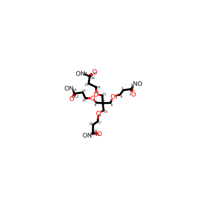 O=NC(=O)CCOCC(COCCC(=O)N=O)(COCCC(=O)N=O)COCCC(=O)N=O